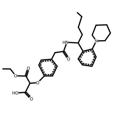 CCCCC(NC(=O)Cc1ccc(OC(C(=O)O)C(=O)OCC)cc1)c1ccccc1N1CCCCC1